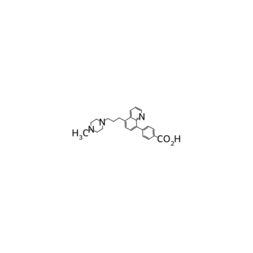 CN1CCN(CCCc2ccc(-c3ccc(C(=O)O)cc3)c3ncccc23)CC1